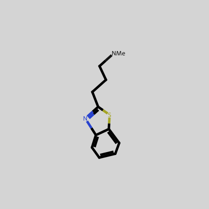 CNCCCc1nc2ccccc2s1